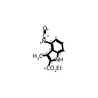 CCOC(=O)c1[nH]c2cccc(N=C=O)c2c1C